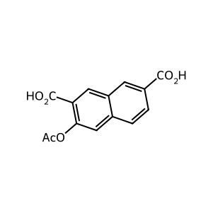 CC(=O)Oc1cc2ccc(C(=O)O)cc2cc1C(=O)O